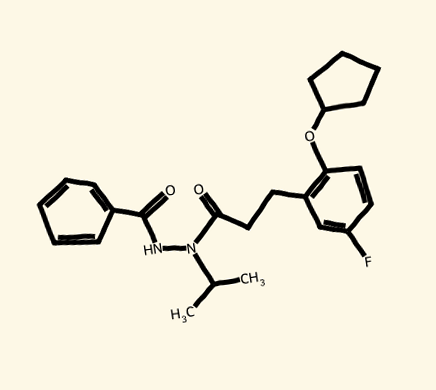 CC(C)N(NC(=O)c1ccccc1)C(=O)CCc1cc(F)ccc1OC1CCCC1